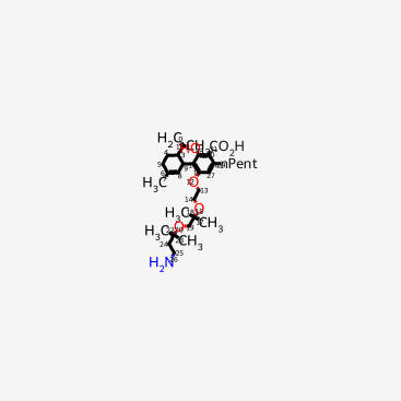 C=C(C)C1CCC(C)=CC1c1c(OCCOC(C)(C)COC(C)(C)CCN)cc(CCCCC)c(C(=O)O)c1O